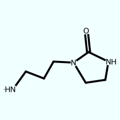 [NH]CCCN1CCNC1=O